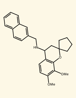 COc1ccc2c(c1OC)OC1(CCCC1)CC2NCc1ccc2ccccc2c1